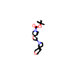 CC(C)(C)OC(=O)N1CCC2(CC1)CC(N1CCC3(CCOC3)C1)CO2